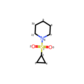 O=S(=O)(C1CC1)N1CC[CH]CC1